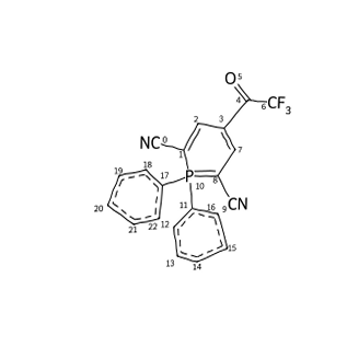 N#CC1=CC(C(=O)C(F)(F)F)=CC(C#N)=P1(c1ccccc1)c1ccccc1